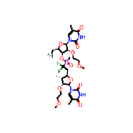 [2H]C[C@H]1O[C@@H](n2cc(C)c(=O)[nH]c2=O)[C@H](OCCOC)[C@@H]1OP(C)(=O)C(F)(F)C[C@H]1O[C@@H](n2cc(C)c(=O)[nH]c2=O)[C@H](OCCOC)[C@@H]1C